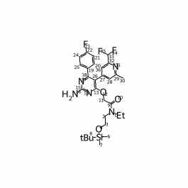 CCN(CCO[Si](C)(C)C(C)(C)C)C(=O)COc1nc(N)nc(-c2ccc(F)cc2)c1-c1cc(C)nc(C(F)F)c1